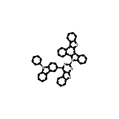 c1ccc(-n2c3ccccc3c3cc(-c4nc(-n5c6ccccc6c6c7sc8ccccc8c7c7ccccc7c65)nc5sc6ccccc6c45)ccc32)cc1